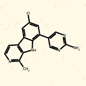 Cc1nccc2c1[nH]c1c(-c3cnc(N)nc3)cc(Cl)cc12